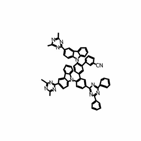 Cc1nc(C)nc(-c2ccc3c(c2)c2ccccc2n3-c2ccc(-c3nc(-c4ccccc4)nc(-c4ccccc4)n3)cc2-c2ccc(-n3c4ccccc4c4cc(-c5nc(C)nc(C)n5)ccc43)c(-c3cccc(C#N)c3)c2)n1